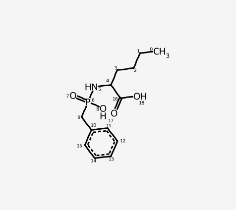 CCCCC(NP(=O)(O)Cc1ccccc1)C(=O)O